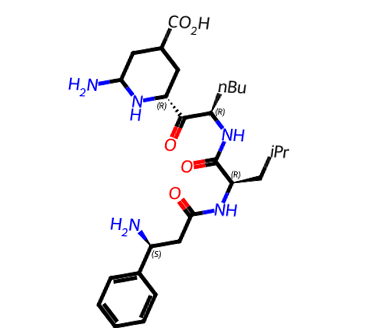 CCCC[C@@H](NC(=O)[C@@H](CC(C)C)NC(=O)C[C@H](N)c1ccccc1)C(=O)[C@H]1CC(C(=O)O)CC(N)N1